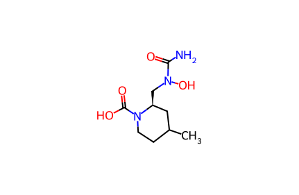 CC1CCN(C(=O)O)[C@@H](CN(O)C(N)=O)C1